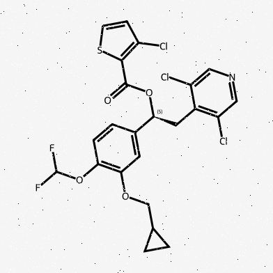 O=C(O[C@@H](Cc1c(Cl)cncc1Cl)c1ccc(OC(F)F)c(OCC2CC2)c1)c1sccc1Cl